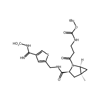 CC(C)(C)OC(=O)NCCC(=O)N1[C@H]2C[C@@]2(C)C[C@H]1C(=O)NCc1cc(C(=N)NC(=O)O)cs1